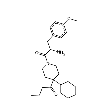 CCCC(=O)C1(C2CCCCC2)CCN(C(=O)C(N)Cc2ccc(OC)cc2)CC1